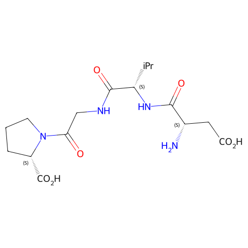 CC(C)[C@H](NC(=O)[C@@H](N)CC(=O)O)C(=O)NCC(=O)N1CCC[C@H]1C(=O)O